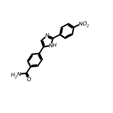 NC(=O)c1ccc(-c2cnc(-c3ccc([N+](=O)[O-])cc3)[nH]2)cc1